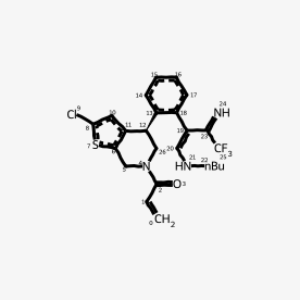 C=CC(=O)N1Cc2sc(Cl)cc2[C@@H](c2ccccc2/C(=C/NCCCC)C(=N)C(F)(F)F)C1